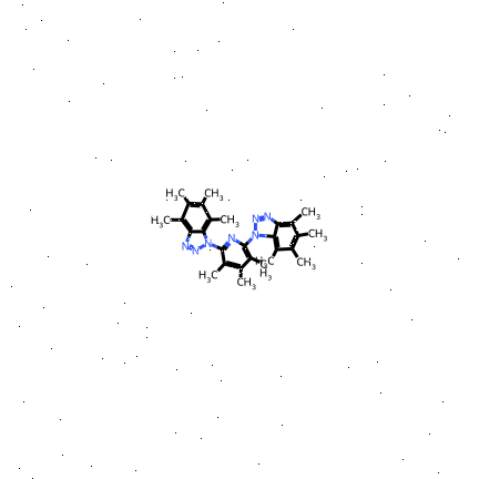 Cc1c(-n2nnc3c(C)c(C)c(C)c(C)c32)nc(-n2nnc3c(C)c(C)c(C)c(C)c32)c(C)c1C